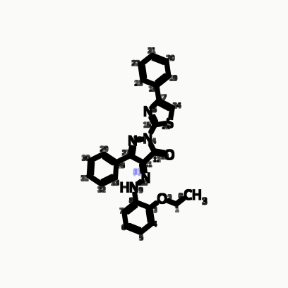 CCOc1ccccc1N/N=C1/C(=O)N(c2nc(-c3ccccc3)cs2)N=C1c1ccccc1